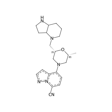 C[C@@H]1CN(c2ccc(C#N)n3nccc23)C[C@H](CN2CCCC3NCCC32)O1